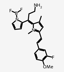 COc1ccc(/C=C/C2=[N+](C)C(=C(/CCN)c3cccn3B(F)F)/C(C)=C2)cc1F